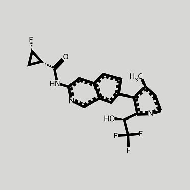 Cc1ccnc([C@H](O)C(F)(F)F)c1-c1ccc2cc(NC(=O)[C@@H]3C[C@@H]3F)ncc2c1